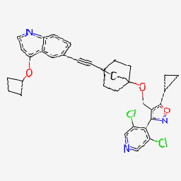 Clc1cncc(Cl)c1-c1noc(C2CC2)c1COC12CCC(C#Cc3ccc4nccc(OC5CCC5)c4c3)(CC1)CC2